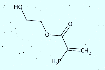 C=C(P)C(=O)OCCO